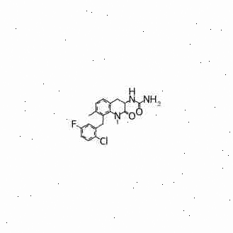 Cc1ccc2c(c1Cc1cc(F)ccc1Cl)N(C)C(=O)[C@H](NC(N)=O)C2